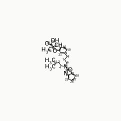 CC(C)CCN(CCCc1cccc(OC(C)(C)C(=O)O)c1)c1nc2ccccc2o1